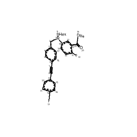 CCCCCCN(Cc1ccc(C#Cc2ccc(F)cc2)cc1)c1ccc(F)c(C(=O)OC)c1